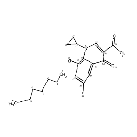 CCCCCCC.O=C(O)c1cn(C2CC2)c2c(Cl)cc(F)cc2c1=O